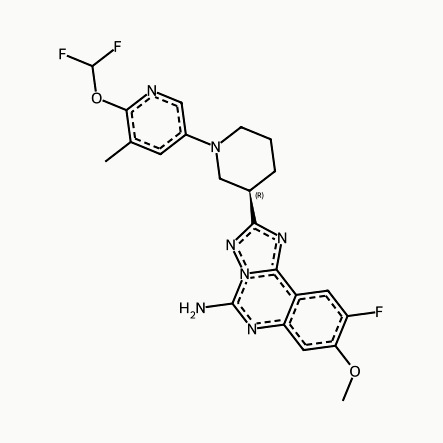 COc1cc2nc(N)n3nc([C@@H]4CCCN(c5cnc(OC(F)F)c(C)c5)C4)nc3c2cc1F